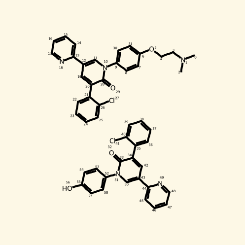 CN(C)CCOc1ccc(-n2cc(-c3ccccn3)cc(-c3ccccc3Cl)c2=O)cc1.O=c1c(-c2ccccc2Cl)cc(-c2ccccn2)cn1-c1ccc(O)cc1